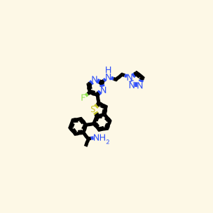 CC(N)c1ccccc1-c1cccc2cc(-c3nc(NCCn4ccnn4)ncc3F)sc12